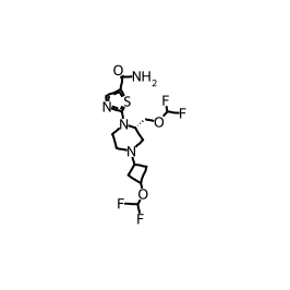 NC(=O)c1cnc(N2CCN(C3CC(OC(F)F)C3)C[C@H]2COC(F)F)s1